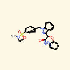 CCCN(CCC)S(=O)(=O)c1ccc(Cn2nc(C(Oc3ccccc3)C(N)=O)c3ccccc32)cc1